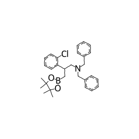 CC1(C)OB(CC(CN(Cc2ccccc2)Cc2ccccc2)c2ccccc2Cl)OC1(C)C